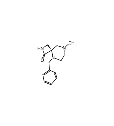 CN1CCN(Cc2ccccc2)[C@@]2(CNC2=O)C1